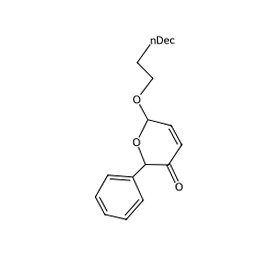 CCCCCCCCCCCCOC1C=CC(=O)C(c2ccccc2)O1